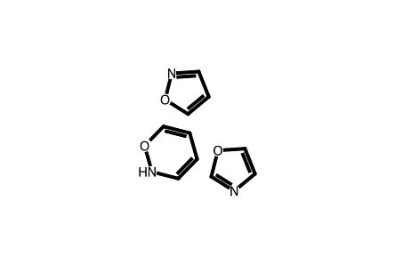 C1=CNOC=C1.c1cnoc1.c1cocn1